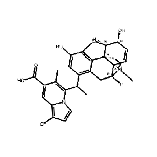 Cc1c(C(=O)O)cc2c(Cl)ccn2c1C(C)c1cc(O)c2c3c1C[C@@H]1[C@@H]4C=C[C@H](O)[C@H](O2)[C@]34CCN1C